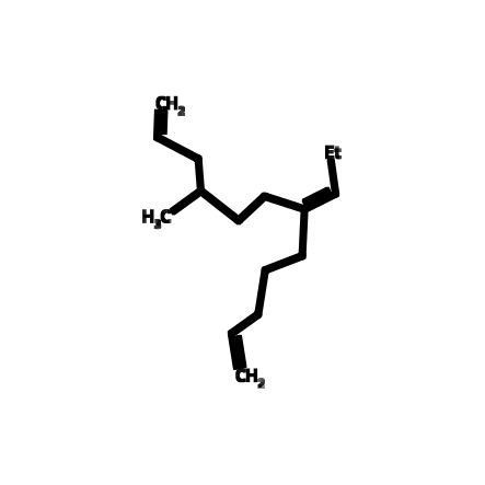 C=CCCCC(=CCC)CCC(C)CC=C